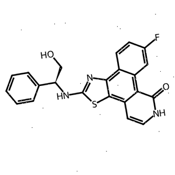 O=c1[nH]ccc2c3sc(N[C@H](CO)c4ccccc4)nc3c3ccc(F)cc3c12